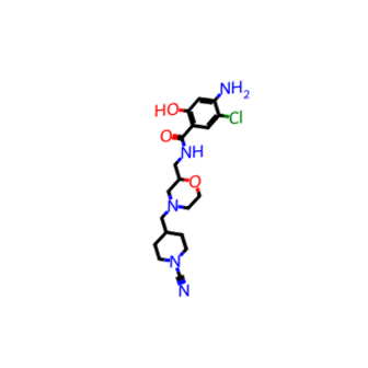 N#CN1CCC(CN2CCOC(CNC(=O)c3cc(Cl)c(N)cc3O)C2)CC1